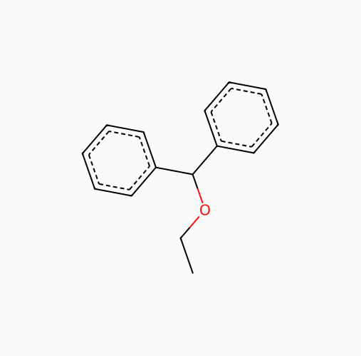 CCOC(c1ccccc1)c1ccccc1